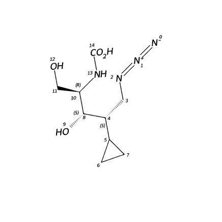 [N-]=[N+]=NC[C@H](C1CC1)[C@H](O)[C@@H](CO)NC(=O)O